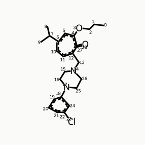 CCCOc1cc(C(C)C)ccc(CN2CCN(c3cccc(Cl)c3)CC2)c1=O